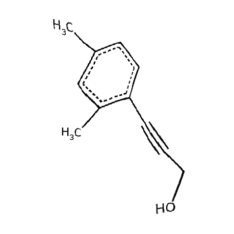 Cc1ccc(C#CCO)c(C)c1